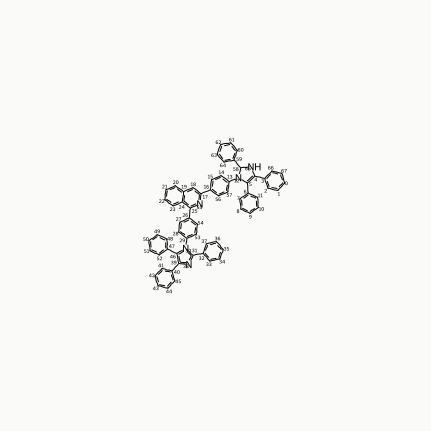 c1ccc(C2=C(c3ccccc3)N(c3ccc(-c4cc5ccccc5c(-c5ccc(-n6c(-c7ccccc7)nc(-c7ccccc7)c6-c6ccccc6)cc5)n4)cc3)C(c3ccccc3)N2)cc1